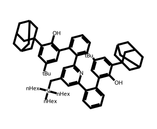 CCCCCC[Si](CCCCCC)(CCCCCC)Cc1cc(-c2ccccc2-c2cc(C(C)(C)C)cc(C34CC5CC(CC(C5)C3)C4)c2O)nc(-c2ccccc2-c2cc(C(C)(C)C)cc(C34CC5CC(CC(C5)C3)C4)c2O)c1